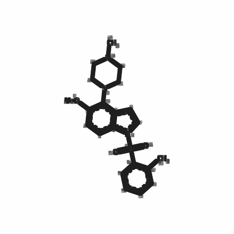 COc1ccc2c(ccn2S(=O)(=O)c2ccccc2C)c1N1CCN(C)CC1